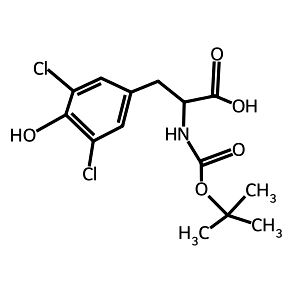 CC(C)(C)OC(=O)NC(Cc1cc(Cl)c(O)c(Cl)c1)C(=O)O